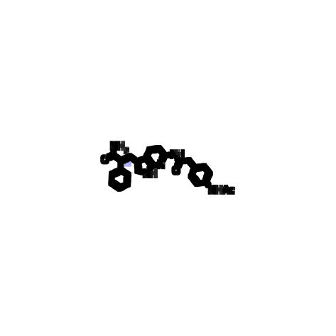 CC(=O)Nc1ccc(CC(=O)Nc2ccc3c(/C=C(/C(N)=O)c4ccccc4)c[nH]c3n2)cc1